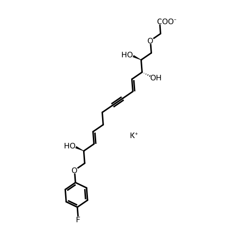 O=C([O-])COC[C@H](O)[C@H](O)/C=C/C#CCC/C=C/[C@H](O)COc1ccc(F)cc1.[K+]